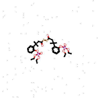 CCOP(=O)(OCC)Oc1ccccc1C(C)(C)CC(=O)SSC(=O)CC(C)(C)c1ccccc1OP(=O)(OCC)OCC